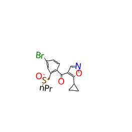 CCC[S+]([O-])Cc1cc(Br)ccc1C(=O)c1cnoc1C1CC1